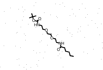 CCCCCC(=O)NCCOCCOCCNC(=O)OC(C)(C)C